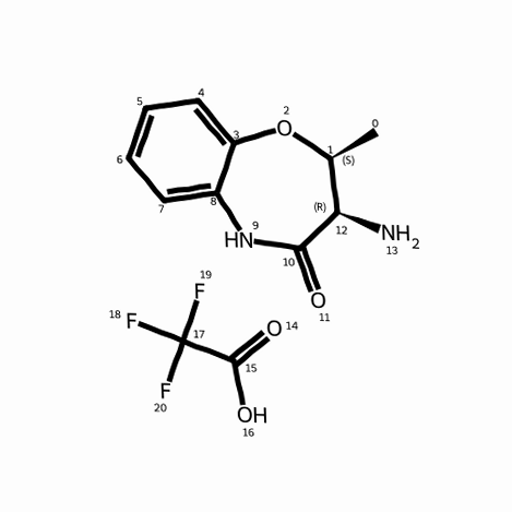 C[C@@H]1Oc2ccccc2NC(=O)[C@@H]1N.O=C(O)C(F)(F)F